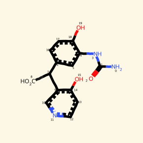 NC(=O)Nc1cc(C(C(=O)O)c2cnccc2O)ccc1O